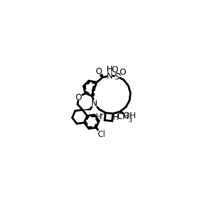 C[C@]1(O)CCCCCS(=O)(=O)NC(=O)c2ccc3c(c2)N(C[C@@H]2CC[C@H]21)C[C@@]1(CCCc2cc(Cl)ccc21)CO3